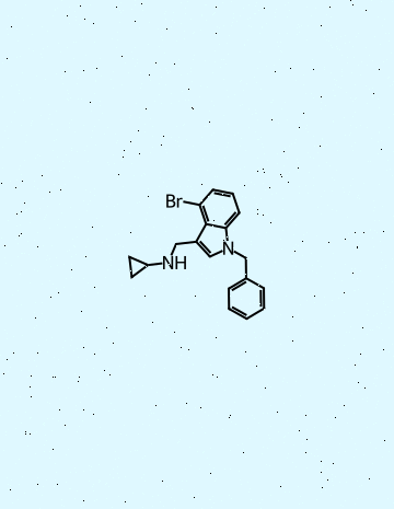 Brc1cccc2c1c(CNC1CC1)cn2Cc1ccccc1